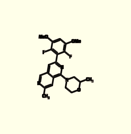 COc1cc(OC)c(F)c(-c2cc3cnc(C)cc3c(N3CCOC(C)C3)n2)c1F